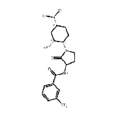 CCC[C@@H]1C[C@H](N(CC)CC)CC[C@@H]1N1CCC(NC(=O)c2cccc(C(F)(F)F)c2)C1=O